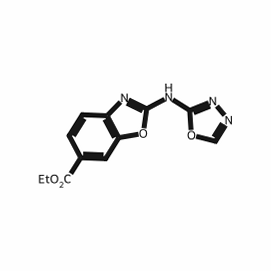 CCOC(=O)c1ccc2nc(Nc3nnco3)oc2c1